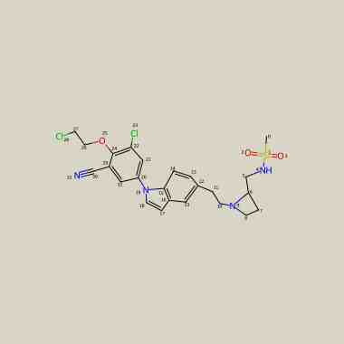 CS(=O)(=O)NCC1CCN1CCc1ccc2c(ccn2-c2cc(Cl)c(OCCCl)c(C#N)c2)c1